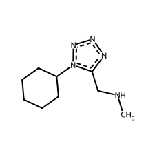 CNCc1nnnn1C1CCCCC1